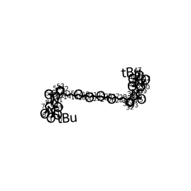 CC(C)(C)OC(=O)N1C(=O)CCC(N2Cc3c(CCCOCCOCCOCCOCCCc4cccc5c4CN(C4CCC(=O)N(C(=O)OC(C)(C)C)C4=O)C5=O)cccc3C2=O)C1=O